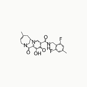 CC1=CCN2CC(C1)n1cc(C(=O)NCc3c(F)cc(C)cc3F)c(=O)c(O)c1C2=O